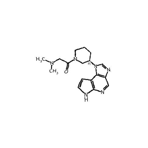 CN(C)CC(=O)N1CCC[C@@H](n2cnc3cnc4[nH]ccc4c32)C1